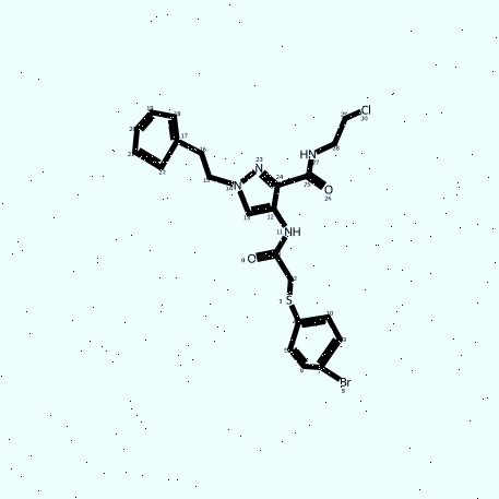 O=C(CSc1ccc(Br)cc1)Nc1cn(CCc2ccccc2)nc1C(=O)NCCCl